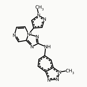 Cn1cc([N+]23C=CN=CC2=NC(Nc2ccc4nnn(C)c4c2)=N3)cn1